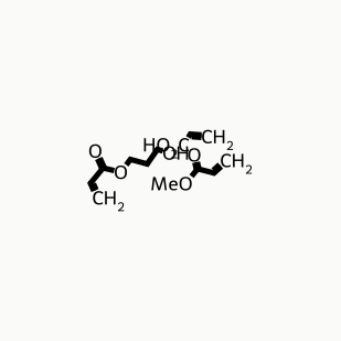 C=CC(=O)O.C=CC(=O)OC.C=CC(=O)OCCCO